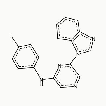 Ic1ccc(Nc2cncc(-n3cnc4ccccc43)n2)cc1